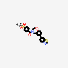 CS(=O)(=O)c1ccc(C(=O)N2CCOc3ccc(-c4ccc5ncsc5c4)cc3C2)cc1